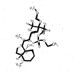 [2H]C([2H])([2H])C(/C=C/[C@H](OP(=O)(OCC)OCC)[C@@H](C)[C@H]1CC[C@H]2[C@@H](C)CCC[C@]12C)(OCOC)C([2H])([2H])[2H]